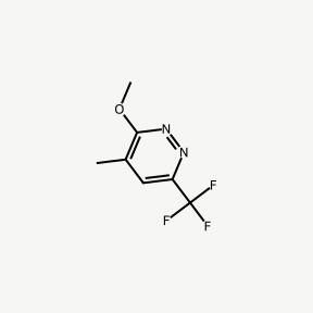 COc1nnc(C(F)(F)F)cc1C